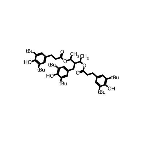 CC(OC(=O)CCc1cc(C(C)(C)C)c(O)c(C(C)(C)C)c1)C(Cc1cc(C(C)(C)C)c(O)c(C(C)(C)C)c1)C(C)OC(=O)CCc1cc(C(C)(C)C)c(O)c(C(C)(C)C)c1